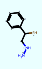 NNCC(S)c1ccccc1